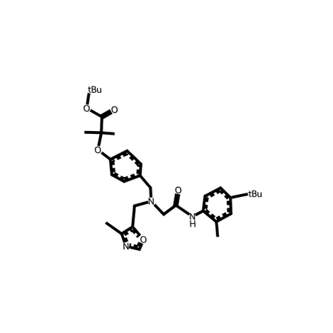 Cc1cc(C(C)(C)C)ccc1NC(=O)CN(Cc1ccc(OC(C)(C)C(=O)OC(C)(C)C)cc1)Cc1ocnc1C